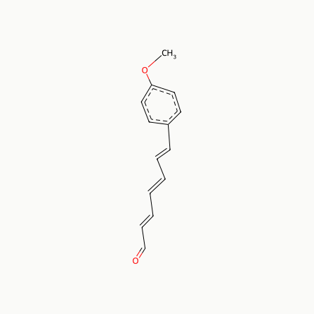 COc1ccc(C=CC=CC=CC=O)cc1